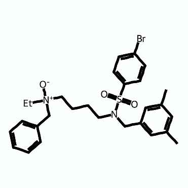 CC[N+]([O-])(CCCCN(Cc1cc(C)cc(C)c1)S(=O)(=O)c1ccc(Br)cc1)Cc1ccccc1